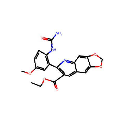 CCOC(=O)c1cc2cc3c(cc2nc1-c1cc(OC)ccc1NC(N)=O)OCO3